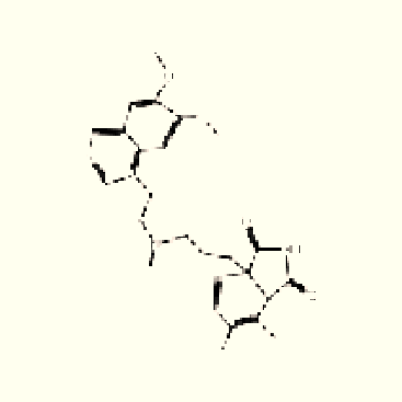 COc1cc2cncc(CCN(C)CCCC34C=CC(C)=C(C)C3C(=O)NC4=O)c2cc1OC